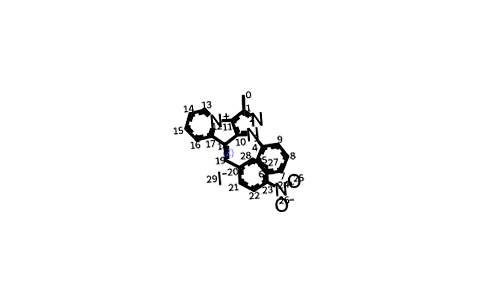 Cc1nn(-c2ccccc2)c2c1-[n+]1ccccc1/C2=C/c1ccc([N+](=O)[O-])cc1.[I-]